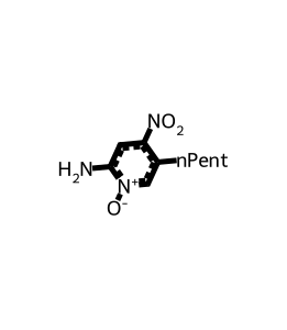 CCCCCc1c[n+]([O-])c(N)cc1[N+](=O)[O-]